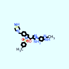 Cc1ccc(S(=O)(=O)n2c(C(=O)c3cnn(-c4ccc5[nH]c(C)nc5c4)c3N)cc3ccc(CN4CCS(=N)CC4)cc32)cc1